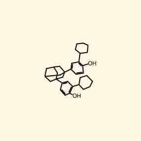 Oc1ccc(C23CC4CC(C2)CC(c2ccc(O)c(C5CCCCC5)c2)(C4)C3)cc1C1CCCCC1